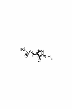 Cn1ncc(C=N[S@+]([O-])C(C)(C)C)c1Cl